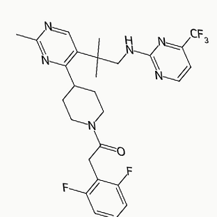 Cc1ncc(C(C)(C)CNc2nccc(C(F)(F)F)n2)c(C2CCN(C(=O)Cc3c(F)cccc3F)CC2)n1